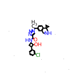 CC(c1ccc2c(c1)CNCC21CC1)n1cc(C(=O)NC2CC(c3cccc(Cl)c3)C2O)nn1